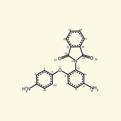 Nc1ccc(Oc2ccc(N)cc2N2C(=O)c3ccccc3C2=O)cc1